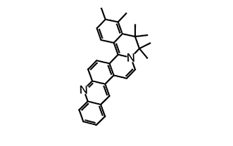 CC1=C2C(=C3c4ccc5nc6ccccc6cc5c4C=CN3C(C)(C)C2(C)C)C=CC1C